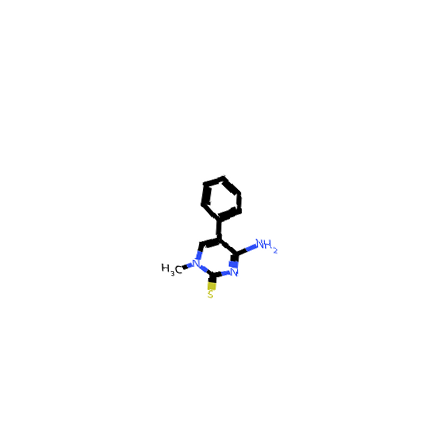 Cn1cc(-c2ccccc2)c(N)nc1=S